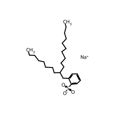 CCCCCCCCCCC(CCCCCCCC)Cc1ccccc1S(=O)(=O)[O-].[Na+]